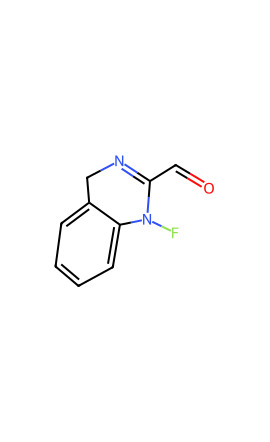 O=CC1=NCc2ccccc2N1F